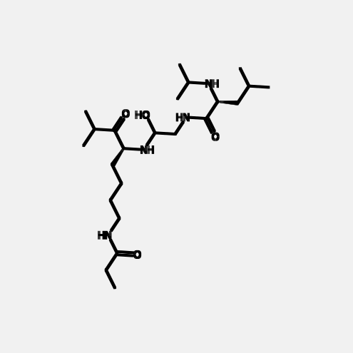 CCC(=O)NCCCC[C@H](NC(O)CNC(=O)[C@H](CC(C)C)NC(C)C)C(=O)C(C)C